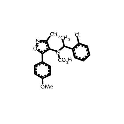 COc1ccc(-c2onc(C)c2N(C(=O)O)C(C)c2ccccc2Cl)cc1